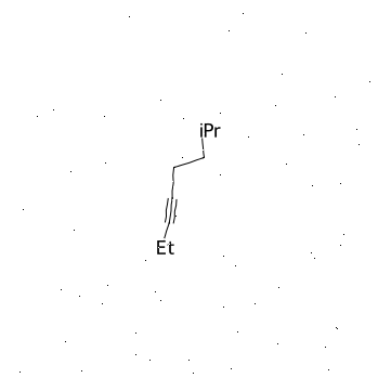 [CH2]C(C)CCC#CCC